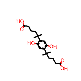 CC(C)(CCCC(=O)O)c1cc(O)c(C(C)(C)CCCC(=O)O)cc1O